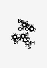 O=C1NC(=S)S/C1=C/c1cc(Br)ccc1Oc1ccccc1Br.O=Cc1cc(Br)ccc1Oc1ccccc1Br